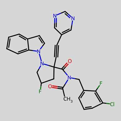 CC(=O)N(Cc1cccc(Cl)c1F)C(=O)C1(C#Cc2cncnc2)CC(F)CN1n1ccc2ccccc21